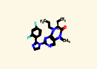 CN1C(=O)[C@H](CC(F)(F)F)N(CCC(F)(F)F)c2nc(-n3ccnc3-c3ccc(F)cc3F)ncc21